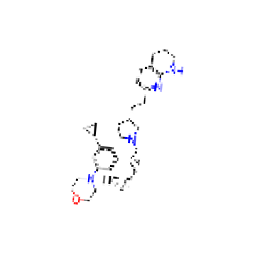 O=C(O)C[C@H](CN1CCC(CCc2ccc3c(n2)NCCC3)C1)c1cc(C2CC2)cc(N2CCOCC2)c1